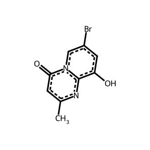 Cc1cc(=O)n2cc(Br)cc(O)c2n1